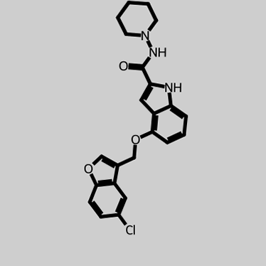 O=C(NN1CCCCC1)c1cc2c(OCc3coc4ccc(Cl)cc34)cccc2[nH]1